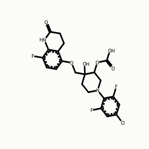 O=C1CCc2c(OCC3(O)CCN(c4c(F)cc(Cl)cc4F)CC3OC(=O)O)ccc(F)c2N1